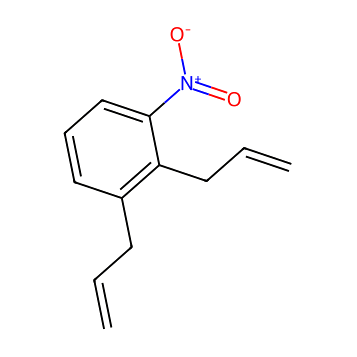 C=CCc1cccc([N+](=O)[O-])c1CC=C